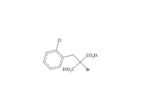 CCOC(=O)C(Br)(Cc1ccccc1Cl)C(=O)OCC